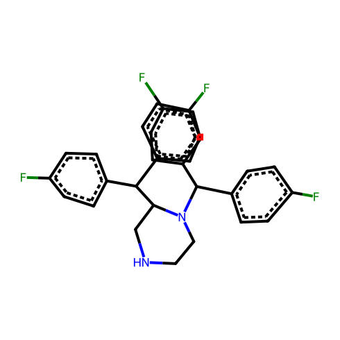 Fc1ccc(C(c2ccc(F)cc2)C2CNCCN2C(c2ccc(F)cc2)c2ccc(F)cc2)cc1